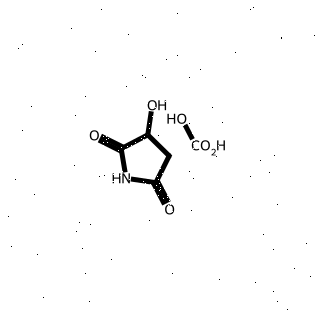 O=C(O)O.O=C1CC(O)C(=O)N1